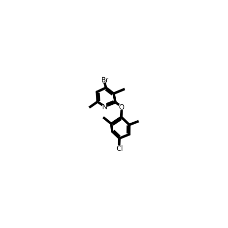 Cc1cc(Br)c(C)c(Oc2c(C)cc(Cl)cc2C)n1